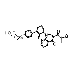 O=C(NC1CC1)c1cn(-c2cccc(-c3ccc([C@@H]4C[C@H]4C(=O)O)cc3)c2F)c2ncccc2c1=O